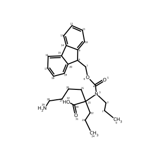 CCCN(C(=O)OCC1c2ccccc2-c2ccccc21)C(CCC)(CCCCN)C(=O)O